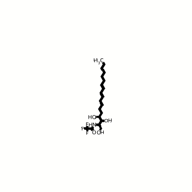 CCCCCCCCCCCCCCC(O)C(O)C(CO)NC(=O)C(F)(F)F